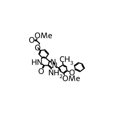 COC(=O)COc1ccc2c(c1)[nH]c(=O)c1c(N)n(-c3cc(OC)c(Oc4ccccc4)cc3C)nc12